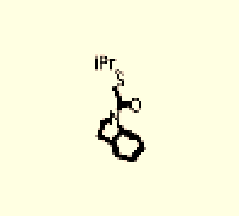 CC(C)SCC(=O)N1CCc2ccccc21